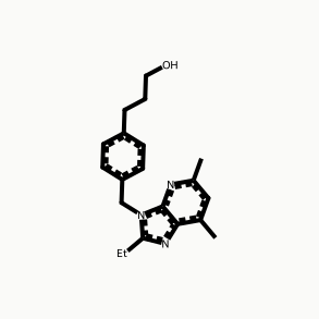 CCc1nc2c(C)cc(C)nc2n1Cc1ccc(CCCO)cc1